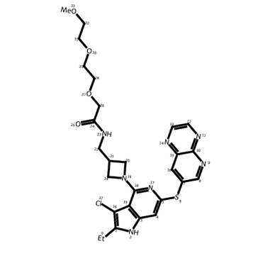 CCc1[nH]c2cc(Sc3cnc4nccnc4c3)nc(N3CC(CNC(=O)COCCOCCOC)C3)c2c1Cl